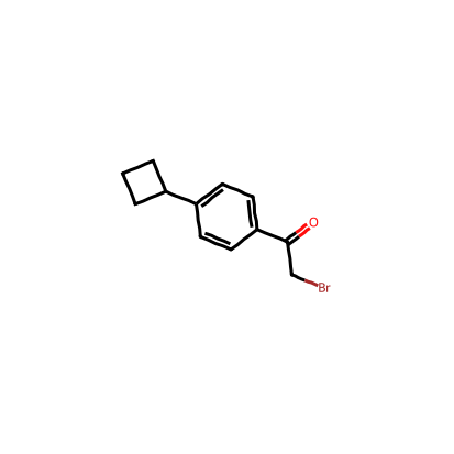 O=C(CBr)c1ccc(C2CCC2)cc1